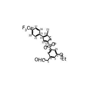 CCOc1cc(CC=O)cc(S(=O)(=O)c2cc(-c3ccc(C(F)(F)F)cc3)c(C)s2)c1